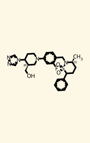 C[C@H]1CCC(c2ccccc2)S(=O)(=O)N1Cc1ccc(N2CCC(n3cnnc3)[C@H](CO)C2)cc1F